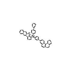 c1ccc(-c2ccc(N(c3ccc(-c4ccc5c(ccc6ccc7ccccc7c65)c4)cc3)c3cccc4c3sc3cc5ccccc5cc34)cc2)cc1